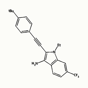 CCn1c(C#Cc2ccc(C(C)(C)C)cc2)c(N)c2ccc(C(F)(F)F)cc21